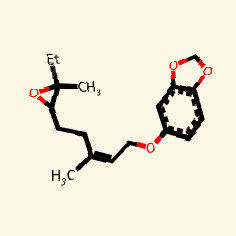 CCC1(C)OC1CCC(C)=CCOc1ccc2c(c1)OCO2